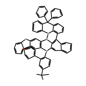 CC(C)(C)c1ccc(N2c3cc4c(cc3B3c5c2cc2ccccc2c5-c2cccc5c2N3c2ccccc2C5(c2ccccc2)c2ccccc2)sc2ccccc24)c(-c2ccccc2)c1